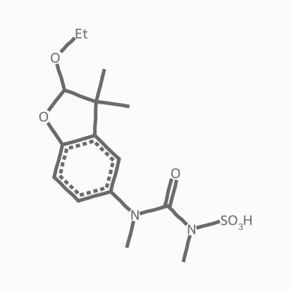 CCOC1Oc2ccc(N(C)C(=O)N(C)S(=O)(=O)O)cc2C1(C)C